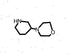 C1CNCC(N2CCOCC2)C1